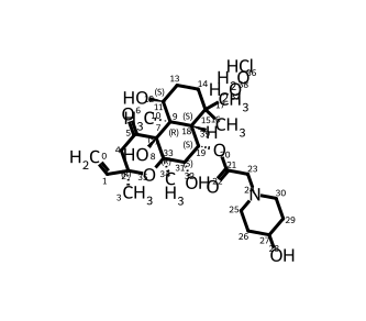 C=C[C@@]1(C)CC(=O)[C@]2(O)[C@@]3(C)[C@@H](O)CCC(C)(C)[C@@H]3[C@H](OC(=O)CN3CCC(O)CC3)[C@H](O)[C@@]2(C)O1.Cl.O.O